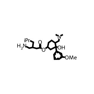 COc1cccc(C2(O)CC(OC(=O)CC(CN)CC(C)C)CCC2CN(C)C)c1